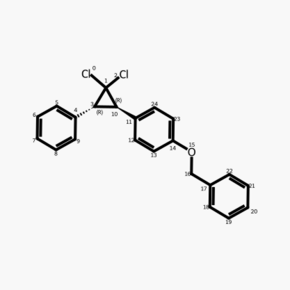 ClC1(Cl)[C@@H](c2ccccc2)[C@@H]1c1ccc(OCc2ccccc2)cc1